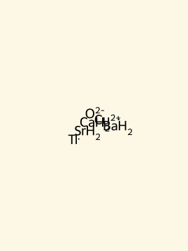 [BaH2].[CaH2].[Cu+2].[O-2].[SrH2].[Tl]